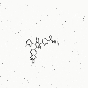 Cc1cccc(-c2[nH]c(-c3ccc(C(N)=O)cc3)nc2C2=CC3=CNSN3C=C2)n1